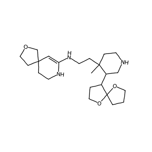 CC1(CCNC2=CC3(CCN2)CCOC3)CCNCC1C1CCOC12CCCO2